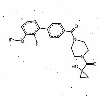 CC(C)Oc1cccc(-c2ccc(C(=O)N3CCN(C(=O)C4(O)CC4)CC3)cc2)c1F